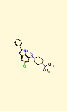 CN(C)C1CCC(Nc2cc(Cl)cc3cc(-c4ccccc4)[nH]c23)CC1